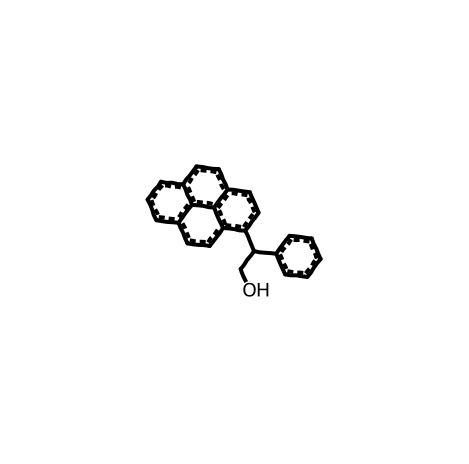 OCC(c1ccccc1)c1ccc2ccc3cccc4ccc1c2c34